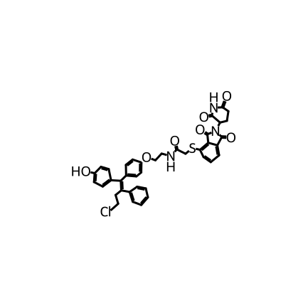 O=C(CSc1cccc2c1C(=O)N(C1CCC(=O)NC1=O)C2=O)NCCOc1ccc(C(=C(CCCl)c2ccccc2)c2ccc(O)cc2)cc1